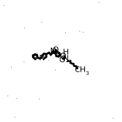 CCCCCCCNC(=O)Oc1ccc2c(CCC3CCN(Cc4ccccc4)CC3)noc2c1